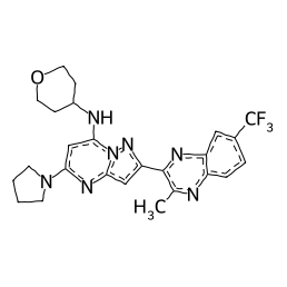 Cc1nc2ccc(C(F)(F)F)cc2nc1-c1cc2nc(N3CCCC3)cc(NC3CCOCC3)n2n1